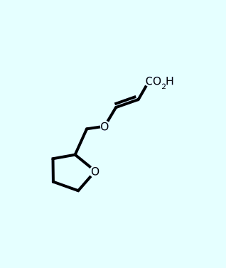 O=C(O)C=COCC1CCCO1